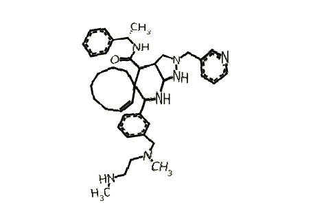 CNCCN(C)Cc1cccc(C2NC3NN(Cc4cccnc4)CC3C(C(=O)N[C@@H](C)c3ccccc3)C23/C=C\CCCCCC3)c1